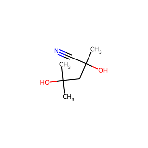 CC(C)(O)CC(C)(O)C#N